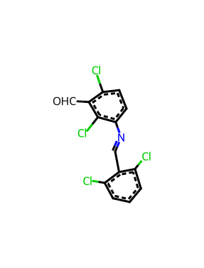 O=Cc1c(Cl)ccc(N=Cc2c(Cl)cccc2Cl)c1Cl